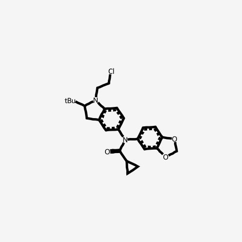 CC(C)(C)C1Cc2cc(N(C(=O)C3CC3)c3ccc4c(c3)OCO4)ccc2N1CCCl